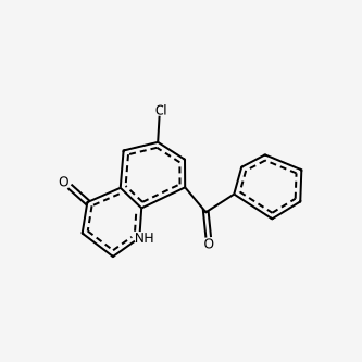 O=C(c1ccccc1)c1cc(Cl)cc2c(=O)cc[nH]c12